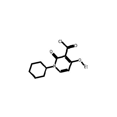 CCOc1ccn(C2CCCCC2)c(=O)c1C(=O)Cl